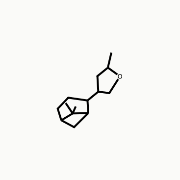 CC1CC(C2CCC3CC2C3(C)C)CO1